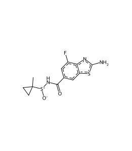 CC1([S+]([O-])NC(=O)c2cc(F)c3nc(N)sc3c2)CC1